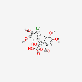 COc1cc2c(cc1OC)C(c1cc(Br)c(OC)c(OC)c1)C(O)(C(=O)O)OC2=O